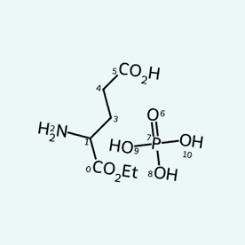 CCOC(=O)C(N)CCC(=O)O.O=P(O)(O)O